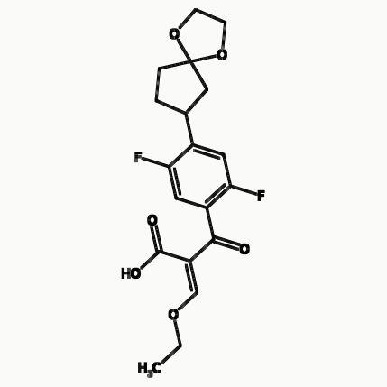 CCOC=C(C(=O)O)C(=O)c1cc(F)c(C2CCC3(C2)OCCO3)cc1F